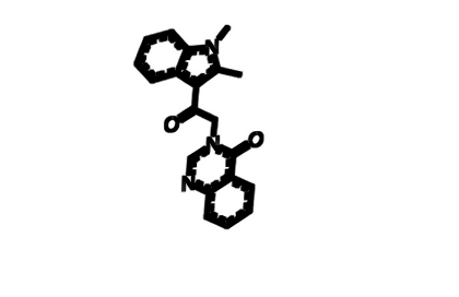 Cc1c(C(=O)Cn2cnc3ccccc3c2=O)c2ccccc2n1C